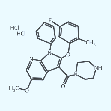 COc1cnc2c(c1)c(C(=O)N1CCNCC1)c(Oc1cc(F)ccc1C)n2-c1ccccc1.Cl.Cl